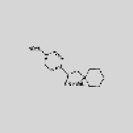 CCCCCCCCc1ccc(C(C#N)CC2(CCCCC)CCCCC2)cc1